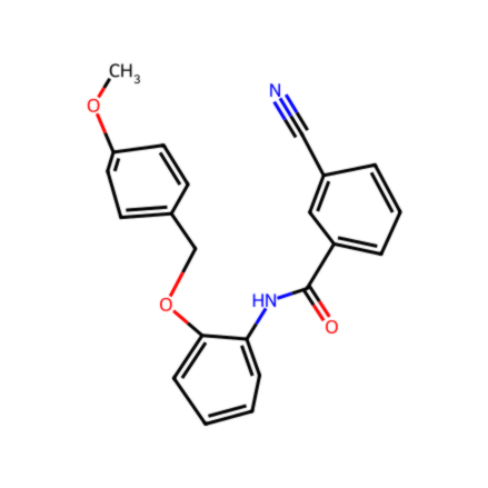 COc1ccc(COc2ccccc2NC(=O)c2cccc(C#N)c2)cc1